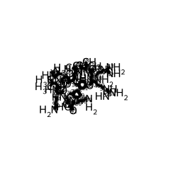 CC(C)[C@H](NC(=O)[C@H](Cc1c[nH]cn1)NC(=O)[C@H](Cc1ccccc1)NC(=O)[C@@H](NC(=O)[C@@H](NC(=O)[C@H](CCCNC(=N)N)NC(=O)[C@@H](N)CCCNC(=N)N)C(C)C)C(C)C)C(=O)N[C@@H](CCCCN)C(=O)N[C@@H](Cc1ccccc1)C(=O)N[C@@H](CCCCN)C(=O)O